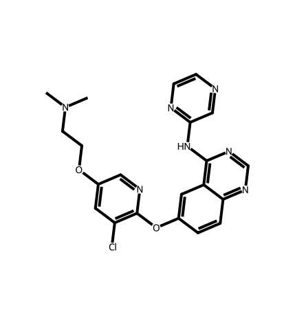 CN(C)CCOc1cnc(Oc2ccc3ncnc(Nc4cnccn4)c3c2)c(Cl)c1